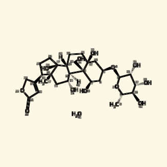 C[C@@H]1O[C@@H](O[C@H]2C[C@@H](O)[C@]3(CO)[C@H]4[C@H](O)C[C@]5(C)[C@@H](C6=CC(=O)OC6)CC[C@]5(O)[C@@H]4CC[C@]3(O)C2)[C@H](O)[C@H](O)[C@H]1O.O